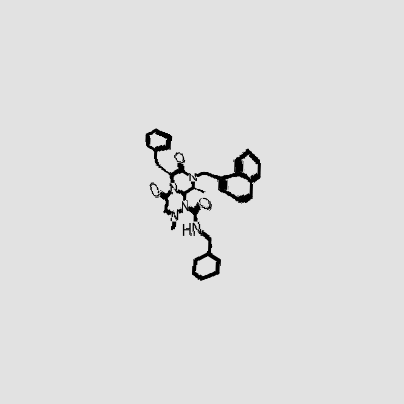 C[C@H]1C2N(C(=O)CN(C)N2C(=O)NCC2CCCCC2)[C@@H](Cc2ccccc2)C(=O)N1Cc1cccc2ccccc12